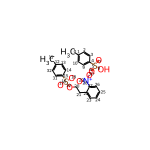 Cc1ccc(S(=O)(=O)O)cc1.Cc1ccc(S(=O)(=O)OCCc2ccccc2[N+](=O)[O-])cc1